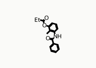 CCC(=O)Oc1cccc(NC(=O)c2ccccc2)c1C